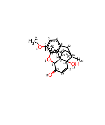 COc1ccc2c3c1OC1C(=O)C=CC4(O)[C@H](CC[C@H](C)[C@]314)C2